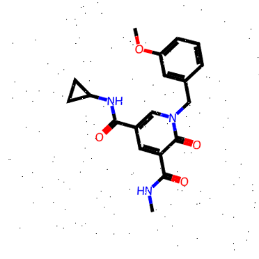 CNC(=O)c1cc(C(=O)NC2CC2)cn(Cc2cccc(OC)c2)c1=O